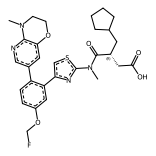 CN1CCOc2cc(-c3ccc(OCF)cc3-c3csc(N(C)C(=O)[C@@H](CC(=O)O)CC4CCCC4)n3)cnc21